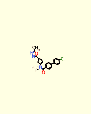 Cc1nnc([C@H]2CC[C@@H](N(C)C(=O)c3ccc(-c4ccc(Cl)cc4)cc3)C2)o1